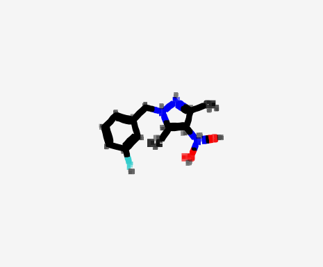 Cc1nn(Cc2cccc(F)c2)c(C)c1[N+](=O)O